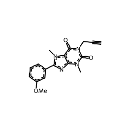 C#CCn1c(=O)c2c(nc(-c3cccc(OC)c3)n2C)n(C)c1=O